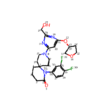 O=C1CCCC2(CCN(c3cc(O[C@H]4CCOC4)nc(CO)n3)CC2)N1c1ccc(F)c(F)c1